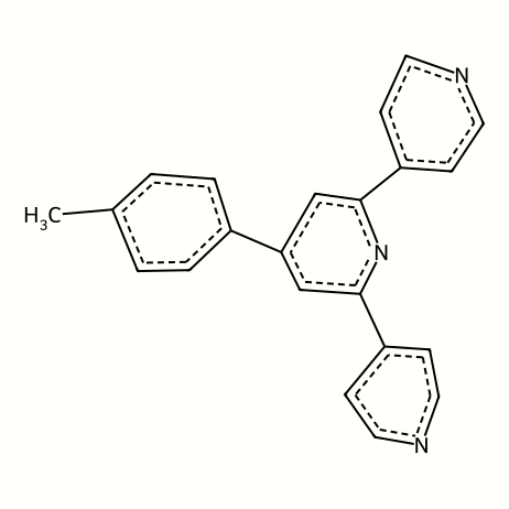 Cc1ccc(-c2cc(-c3ccncc3)nc(-c3ccncc3)c2)cc1